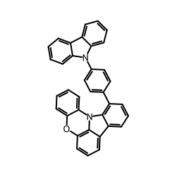 c1ccc2c(c1)Oc1cccc3c4cccc(-c5ccc(-n6c7ccccc7c7ccccc76)cc5)c4n-2c13